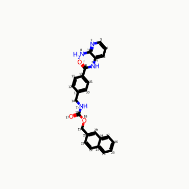 Nc1ncccc1NC(=O)c1ccc(CNC(=O)OCc2ccc3ccccc3c2)cc1